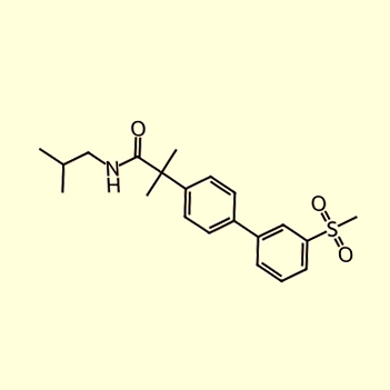 CC(C)CNC(=O)C(C)(C)c1ccc(-c2cccc(S(C)(=O)=O)c2)cc1